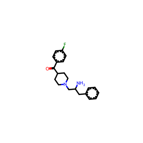 NC(Cc1ccccc1)CN1CCC(C(=O)c2ccc(F)cc2)CC1